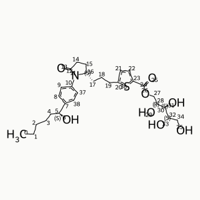 CCCCC[C@H](O)c1ccc(N2C(=O)CC[C@@H]2CCCc2ccc(C(=O)OC[C@@H](O)[C@@H](O)[C@@H](O)CO)s2)cc1